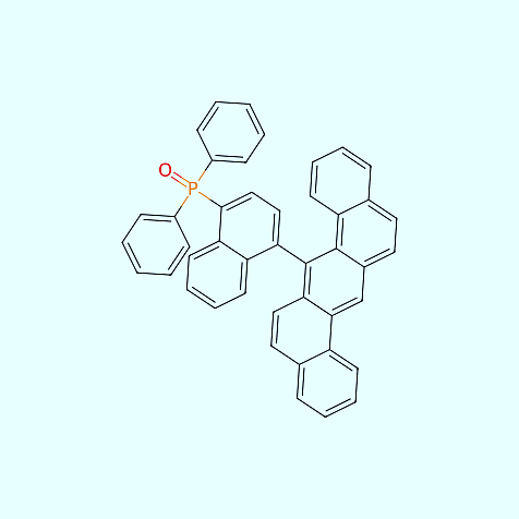 O=P(c1ccccc1)(c1ccccc1)c1ccc(-c2c3ccc4ccccc4c3cc3ccc4ccccc4c23)c2ccccc12